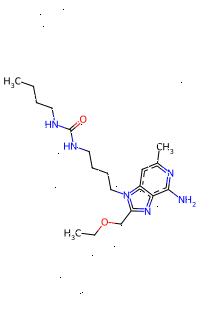 CCCCNC(=O)NCCCCn1c(COCC)nc2c(N)nc(C)cc21